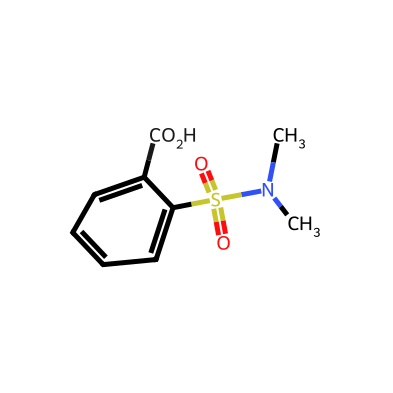 CN(C)S(=O)(=O)c1ccccc1C(=O)O